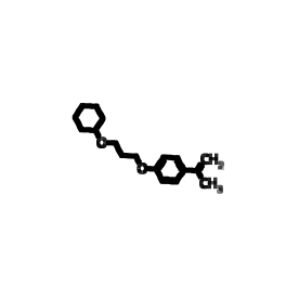 C=C(C)c1ccc(OCCCOC2CCCCC2)cc1